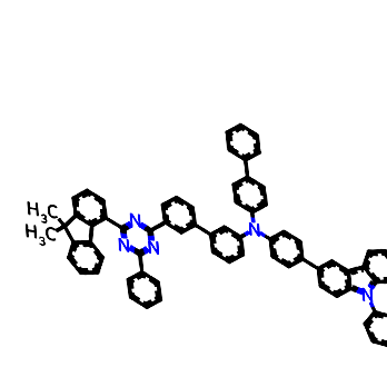 CC1(C)c2ccccc2-c2c(-c3nc(-c4ccccc4)nc(-c4cccc(-c5cccc(N(c6ccc(-c7ccccc7)cc6)c6ccc(-c7ccc8c(c7)c7ccccc7n8-c7ccccc7)cc6)c5)c4)n3)cccc21